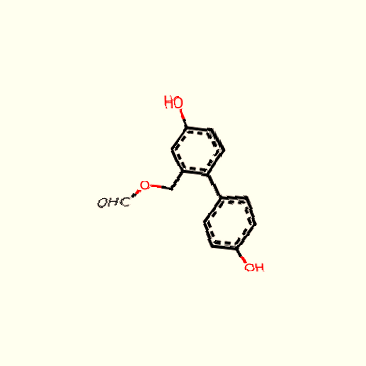 O=COCc1cc(O)ccc1-c1ccc(O)cc1